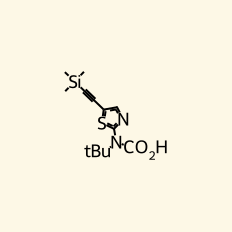 CC(C)(C)N(C(=O)O)c1ncc(C#C[Si](C)(C)C)s1